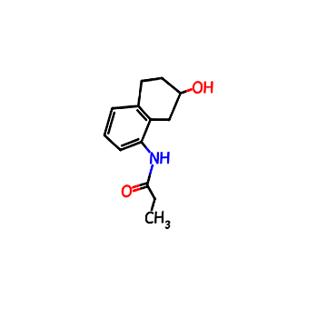 CCC(=O)Nc1cccc2c1CC(O)CC2